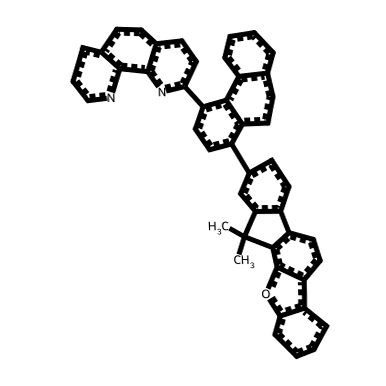 CC1(C)c2cc(-c3ccc(-c4ccc5ccc6cccnc6c5n4)c4c3ccc3ccccc34)ccc2-c2ccc3c(oc4ccccc43)c21